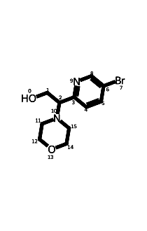 OCC(c1ccc(Br)cn1)N1CCOCC1